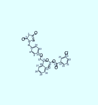 O=C1CC(=O)C(Cc2ccc(OCC(OCOC(=O)c3cccc(Cl)c3)c3ccccc3F)cc2)S1